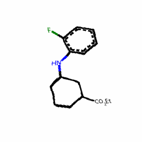 CCOC(=O)C1CCCC(Nc2ccccc2F)C1